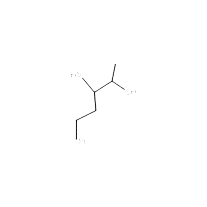 CCCCCC(S)C(C)S